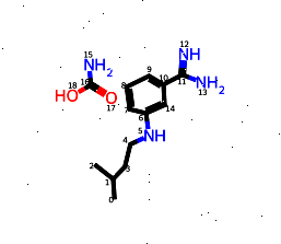 CC(C)CCNc1cccc(C(=N)N)c1.NC(=O)O